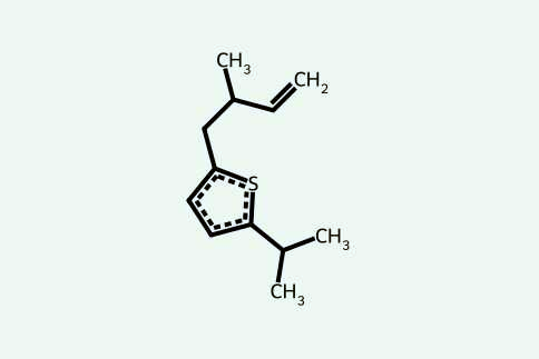 C=CC(C)Cc1ccc(C(C)C)s1